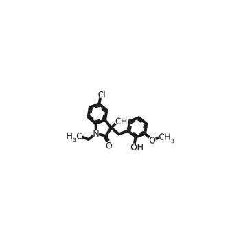 CCN1C(=O)C(C)(Cc2cccc(OC)c2O)c2cc(Cl)ccc21